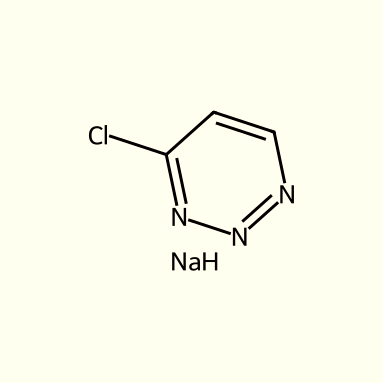 Clc1ccnnn1.[NaH]